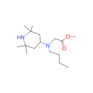 CCCCN(CC(=O)OC)C1CC(C)(C)NC(C)(C)C1